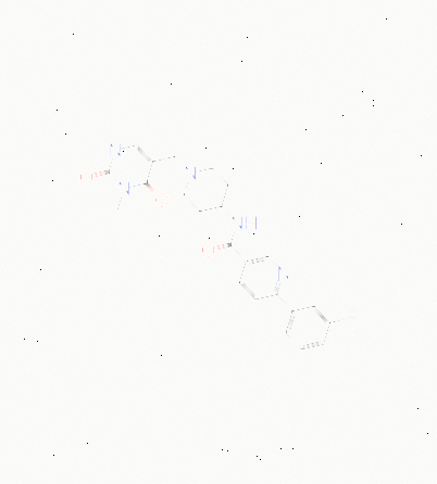 Cn1cc(CN2CCC(NC(=O)c3ccc(-c4cccc(F)c4)nc3)CC2)c(=O)n(C)c1=O